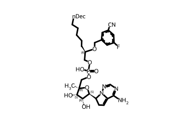 CCCCCCCCCCCCCCC[C@H](COP(=O)(O)OC[C@@]1(C)O[C@@H](C2CC=C3C(N)=NC=NN32)[C@H](O)[C@@H]1O)OCc1cc(F)cc(C#N)c1